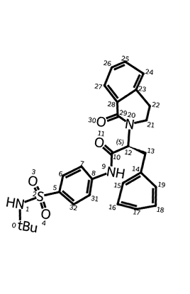 CC(C)(C)NS(=O)(=O)c1ccc(NC(=O)[C@H](Cc2ccccc2)N2CCc3ccccc3C2=O)cc1